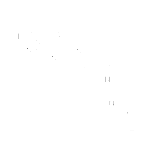 CCN(c1cccc2cc(-c3ncc(CN4CCN(S(=O)(=O)CC)CC4)s3)[nH]c12)S(=O)(=O)c1cccs1